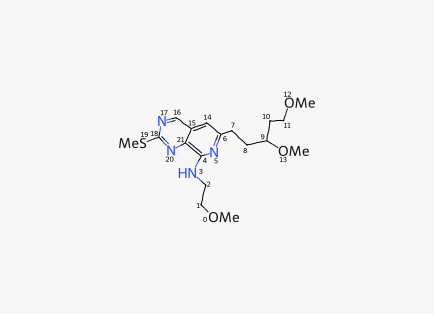 COCCNc1nc(CCC(CCOC)OC)cc2cnc(SC)nc12